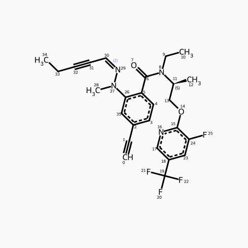 C#Cc1ccc(C(=O)N(CC)[C@@H](C)COc2ncc(C(F)(F)F)cc2F)c(N(C)/N=C\C#CCC)c1